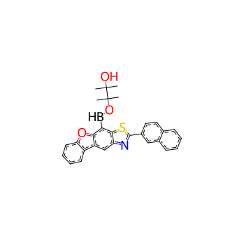 CC(C)(O)C(C)(C)OBc1c2oc3ccccc3c2cc2nc(-c3ccc4ccccc4c3)sc12